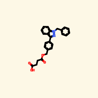 O=C(O)CCC(=O)OCc1ccc(-c2nn(Cc3ccccc3)c3ccccc23)cc1